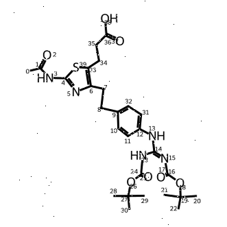 CC(=O)Nc1nc(CCc2ccc(N/C(=N/C(=O)OC(C)(C)C)NC(=O)OC(C)(C)C)cc2)c(CCC(=O)O)s1